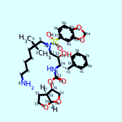 CC(C)(CCCCCN)CN(C[C@@H](O)[C@H](Cc1ccccc1)NC(=O)O[C@H]1CO[C@H]2OCC[C@H]21)S(=O)(=O)c1ccc2c(c1)OCO2